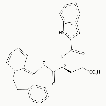 O=C(O)CC[C@H](NC(=O)c1cc2ccccc2[nH]1)C(=O)NC1=C2C=CC=CC2CCc2ccccc21